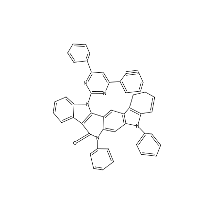 O=c1c2c3ccccc3n(-c3nc(-c4c#cccc4)cc(-c4ccccc4)n3)c2c2cc3c4c(n(-c5ccccc5)c3cc2n1-c1ccccc1)C=CCC4